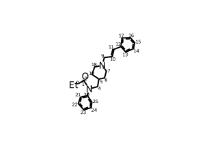 CCC(=O)N(CC1CCN(C/C=C/c2ccccc2)CC1)c1ccccc1